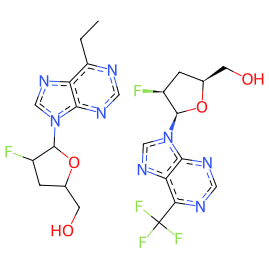 CCc1ncnc2c1ncn2C1OC(CO)CC1F.OC[C@@H]1C[C@H](F)[C@H](n2cnc3c(C(F)(F)F)ncnc32)O1